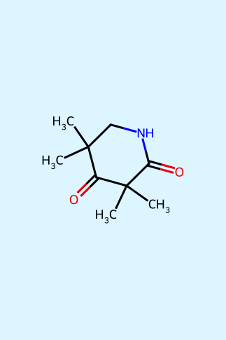 CC1(C)CNC(=O)C(C)(C)C1=O